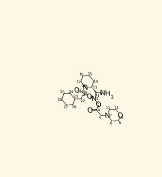 N/C(=N\OC(=O)CN1CCOCC1)[C@@H]1CCCCN1S(=O)(=O)CC1CCCCC1